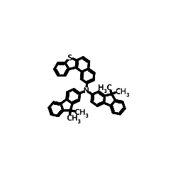 CC1(C)c2ccccc2-c2ccc(N(c3ccc4c(c3)C(C)(C)c3ccccc3-4)c3ccc4ccc5sc6ccccc6c5c4c3)cc21